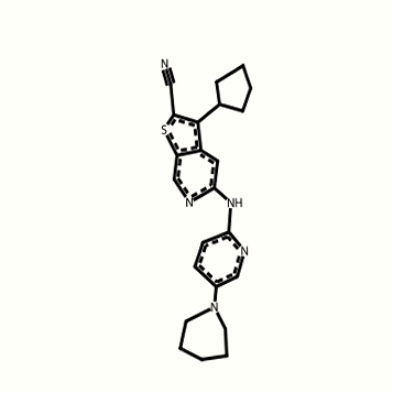 N#Cc1sc2cnc(Nc3ccc(N4CCCCC4)cn3)cc2c1C1CCCC1